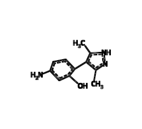 Cc1n[nH]c(C)c1-c1ccc(N)cc1O